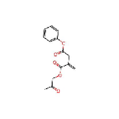 C=C(CC(=O)Oc1ccccc1)C(=O)OCC(C)=O